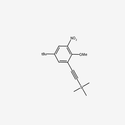 COc1c(C#C[Si](C)(C)C)cc(C(C)(C)C)cc1[N+](=O)[O-]